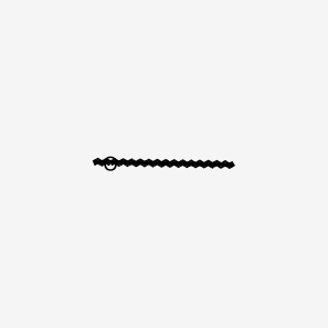 CCCCCCCCCCCCCCCCCCCCCCCCCCCC[CH]OCCCC